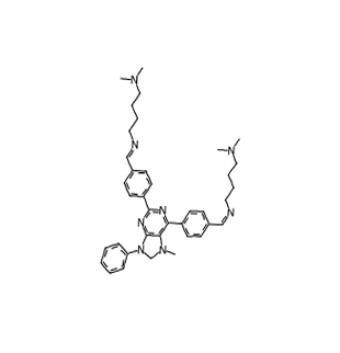 CN(C)CCCC/N=C\c1ccc(-c2nc(-c3ccc(/C=N/CCCCN(C)C)cc3)nc3c2N(C)CN3c2ccccc2)cc1